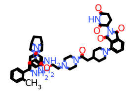 Cc1ccccc1/C(N)=C/C(=C(N)N)N1CC2CCC(C1)N2c1cccc(OCCN2CCN(C(=O)CC3CCN(c4cccc5c4C(=O)N(C4CCC(=O)NC4=O)C5=O)CC3)CC2)c1